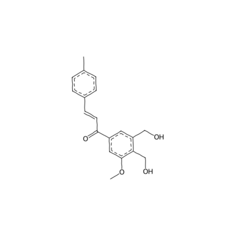 COc1cc(C(=O)/C=C/c2ccc(C)cc2)cc(CO)c1CO